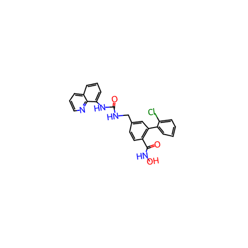 O=C(NCc1ccc(C(=O)NO)c(-c2ccccc2Cl)c1)Nc1cccc2cccnc12